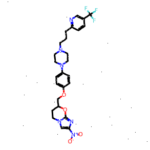 O=[N+]([O-])c1cn2c(n1)OC(COc1ccc(N3CCN(CCCc4ccc(C(F)(F)F)cn4)CC3)cc1)CC2